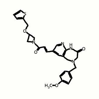 COc1ccc(CN2CC(=O)Nc3ncc(C=CC(=O)N4CC(OCc5cccs5)C4)cc3C2)cc1